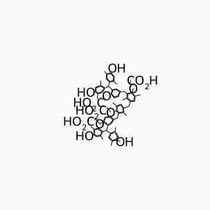 Cc1cc(C(c2cc(C)c(O)cc2C)c2cc(Cc3c(C)c(Cc4cc(C)c(OCC(=O)O)c(Cc5ccc(OCC(=O)O)c(C(c6cc(C)c(O)cc6C)c6cc(C)c(O)cc6C)c5)c4C)cc(C)c3OCC(=O)O)ccc2OCC(=O)O)c(C)cc1O